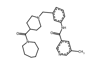 Cc1cncc(C(=O)Nc2cccc(CN3CCC(C(=O)N4CCCCCC4)CC3)c2)c1